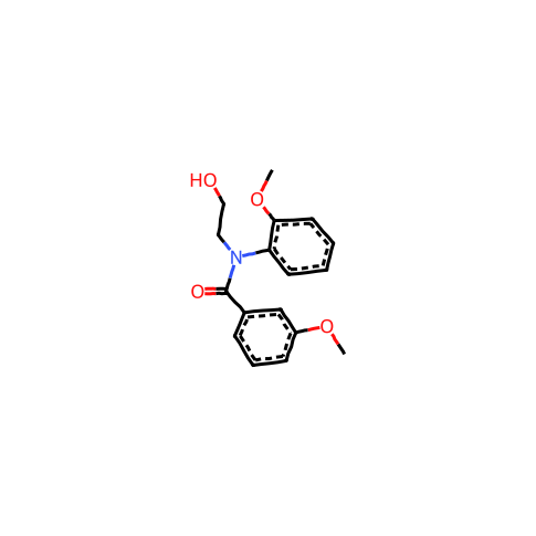 COc1cccc(C(=O)N(CCO)c2ccccc2OC)c1